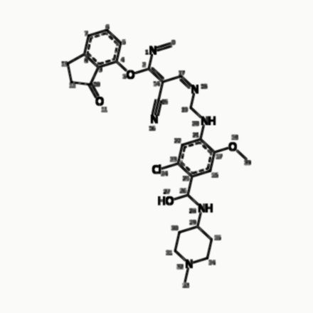 C=N/C(Oc1cccc2c1C(=O)CC2)=C(C#N)\C=N/CNc1cc(Cl)c(C(O)NC2CCN(C)CC2)cc1OC